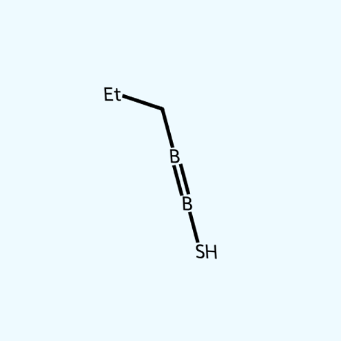 CCCB=BS